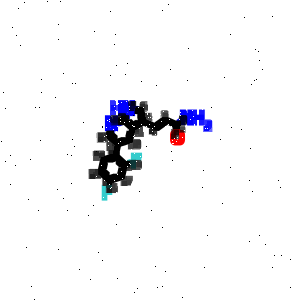 NC(=O)/C=C/c1c[nH]c2ncc(-c3ccc(F)cc3F)cc12